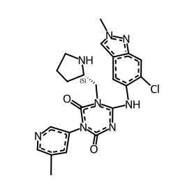 Cc1cncc(-n2c(=O)nc(Nc3cc4cn(C)nc4cc3Cl)n(C[C@@H]3CCCN3)c2=O)c1